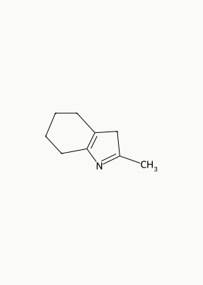 CC1=NC2=C(CCCC2)C1